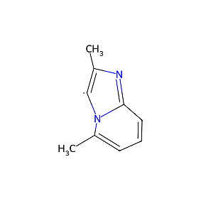 Cc1[c]n2c(C)cccc2n1